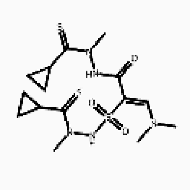 CN(C)C=C(C(=O)NN(C)C(=S)C1CC1)S(=O)(=O)NN(C)C(=S)C1CC1